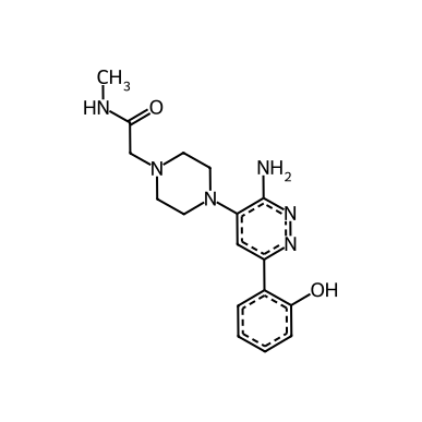 CNC(=O)CN1CCN(c2cc(-c3ccccc3O)nnc2N)CC1